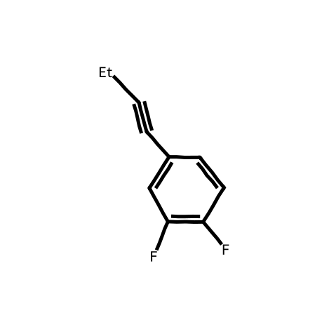 CCC#Cc1ccc(F)c(F)c1